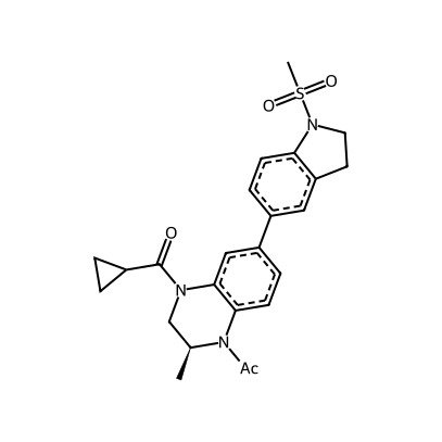 CC(=O)N1c2ccc(-c3ccc4c(c3)CCN4S(C)(=O)=O)cc2N(C(=O)C2CC2)C[C@@H]1C